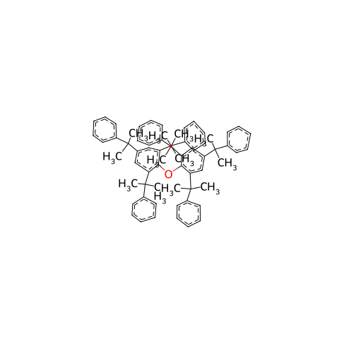 CC(C)(c1ccccc1)c1cc(C(C)(C)c2ccccc2)c(Oc2c(C(C)(C)c3ccccc3)cc(C(C)(C)c3ccccc3)cc2C(C)(C)c2ccccc2)c(C(C)(C)c2ccccc2)c1